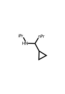 [CH2]CCC(NC(C)C)C1CC1